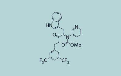 COC(=O)N(c1cccnc1)C(Cc1c[nH]c2ccccc12)C(=O)CCc1cc(C(F)(F)F)cc(C(F)(F)F)c1